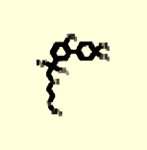 CSCCNCC(C)(C)c1ccc(N)c(C2=CCC(C)(C)CC2)c1